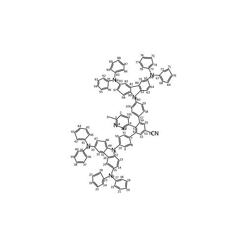 Cc1ccc(-c2c(-c3ccc(-n4c5ccc(N(c6ccccc6)c6ccccc6)cc5c5cc(N(c6ccccc6)c6ccccc6)ccc54)cc3)cc(C#N)cc2-c2ccc(-n3c4ccc(N(c5ccccc5)c5ccccc5)cc4c4cc(N(c5ccccc5)c5ccccc5)ccc43)cc2)c(C)n1